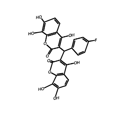 O=c1oc2c(O)c(O)ccc2c(O)c1C(c1ccc(F)cc1)c1c(O)c2ccc(O)c(O)c2oc1=O